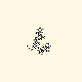 CC1(C)O[C@@H]2[C@H](O1)[C@@H](CO[Si](c1ccccc1)(c1ccccc1)C(C)(C)C)O[C@H]2n1cnc2c(NC3CCCC3)nc(Cl)nc21